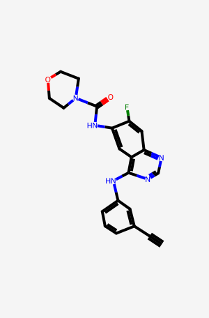 C#Cc1cccc(Nc2ncnc3cc(F)c(NC(=O)N4CCOCC4)cc23)c1